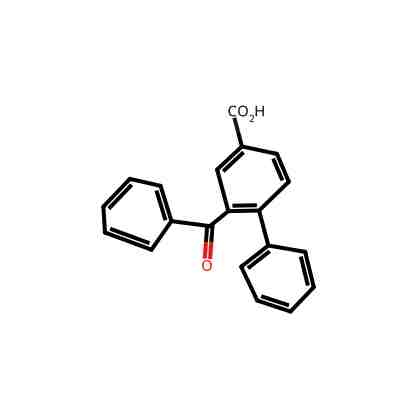 O=C(O)c1ccc(-c2ccccc2)c(C(=O)c2ccccc2)c1